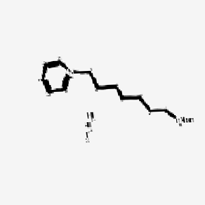 CCCCCCCCCCCCCCCC[n+]1ccccc1.I.I.[I-]